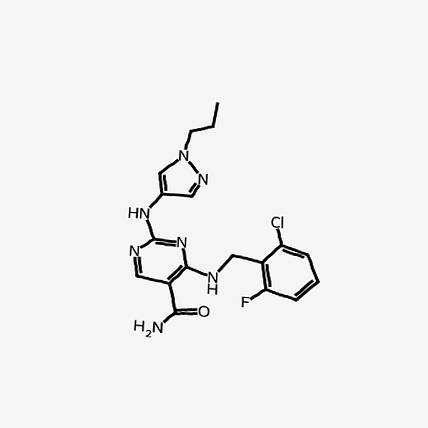 CCCn1cc(Nc2ncc(C(N)=O)c(NCc3c(F)cccc3Cl)n2)cn1